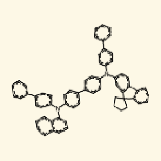 c1ccc(-c2ccc(N(c3ccc(-c4ccc(N(c5ccc(-c6ccccc6)cc5)c5cccc6ccccc56)cc4)cc3)c3ccc4c(c3)C3(CCCC3)c3ccccc3-4)cc2)cc1